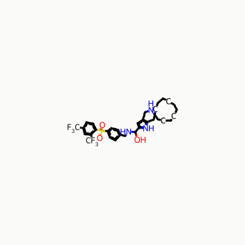 O=S(=O)(c1ccc(CNC(O)c2cc3c([nH]2)CC2(CCCCCCCCCC2)NC3)cc1)c1ccc(C(F)(F)F)cc1C(F)(F)F